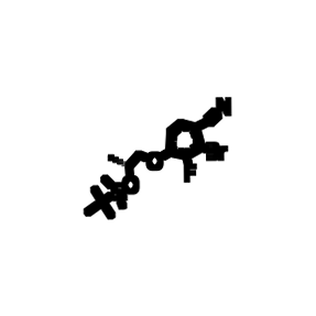 C[C@H](COc1ccc(C#N)c(Br)c1F)O[Si](C)(C)C(C)(C)C